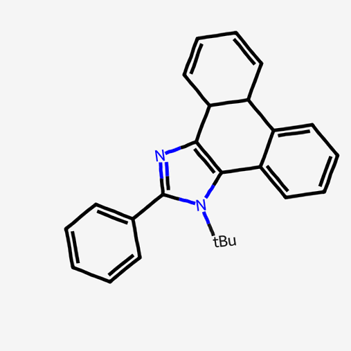 CC(C)(C)n1c(-c2ccccc2)nc2c1-c1ccccc1C1C=CC=CC21